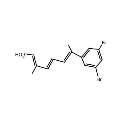 CC(C=CC=C(C)c1cc(Br)cc(Br)c1)=CC(=O)O